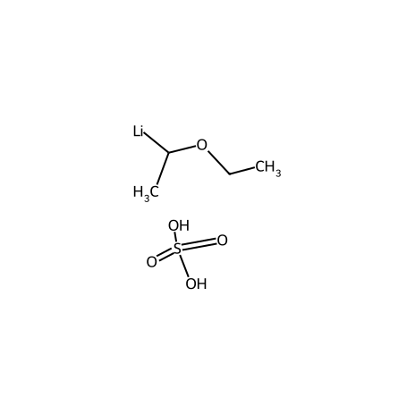 O=S(=O)(O)O.[Li][CH](C)OCC